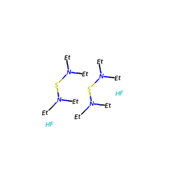 CCN(CC)SN(CC)CC.CCN(CC)SN(CC)CC.F.F